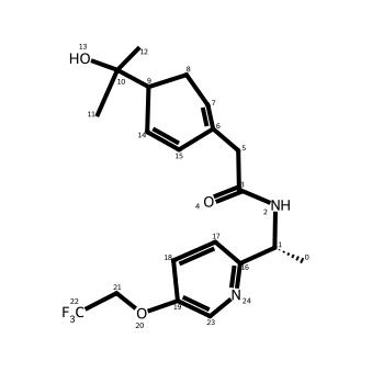 C[C@@H](NC(=O)CC1=CCC(C(C)(C)O)C=C1)c1ccc(OCC(F)(F)F)cn1